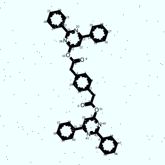 O=C(Cc1ccc(CC(=O)Oc2cc(-c3ccccc3)nc(-c3ccccc3)n2)cc1)Oc1cc(-c2ccccc2)nc(-c2ccccc2)n1